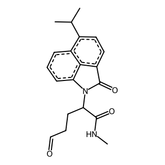 CNC(=O)C(CCC=O)N1C(=O)c2ccc(C(C)C)c3cccc1c23